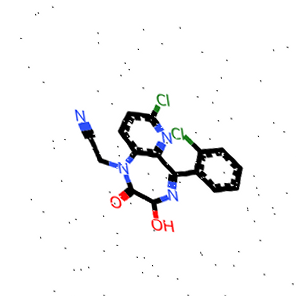 N#CCN1C(=O)C(O)N=C(c2ccccc2Cl)c2nc(Cl)ccc21